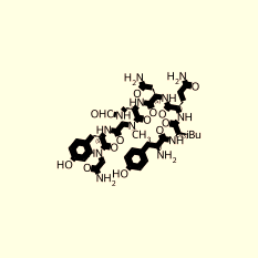 CC[C@H](C)[C@H](NC(=O)[C@@H](N)Cc1ccc(O)cc1)C(=O)N[C@@H](CCC(N)=O)C(=O)N[C@@H](CC(N)=O)C(=O)N[C@@H](CNC=O)C(=O)N(C)CC(=O)N[C@@H](Cc1ccc(O)cc1)C(=O)NCC(N)=O